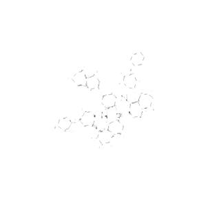 c1ccc(-c2ccc(N3c4cc(-c5ccc6ccccc6c5)cc5c4B(c4ccc6ccccc6c43)c3ccc4ccccc4c3N5c3ccc(-c4ccccc4)cc3)cc2)cc1